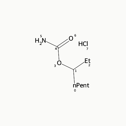 CCCCCC(CC)OC(N)=O.Cl